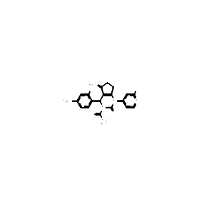 CCNC(=O)N1C(=O)N(c2ccnc(C(F)(F)F)c2)C2=C(C(=O)CC2)C1c1ccc(C#N)cc1SCC